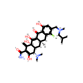 C=C1C(C(N)=O)=C(O)[C@@H](N(C)C)C2C[C@@H]3Cc4c(F)c(CN(C)CC(C)C)cc(O)c4C(=O)C3=C(O)[C@]12O